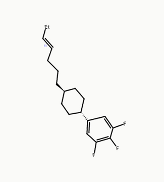 CC/C=C/CCC[C@H]1CC[C@H](c2cc(F)c(F)c(F)c2)CC1